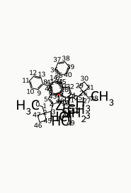 CCC1(CC2=Cc3c(-c4ccccc4)cccc3[CH]2[Zr]([CH3])([CH3])(=[SiH2])[CH]2C(CC3(CC)CCC3)=Cc3c(-c4ccccc4)cccc32)CCC1.Cl.Cl